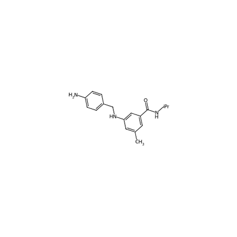 Cc1cc(NCc2ccc(N)cc2)cc(C(=O)NC(C)C)c1